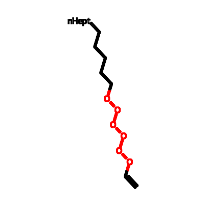 C=COOOOOOCCCCCCCCCCCC